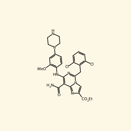 CCOC(=O)c1cn2c(Cc3c(Cl)cccc3Cl)nc(Nc3ccc(N4CCNCC4)cc3OC)c(C(N)=O)c2n1